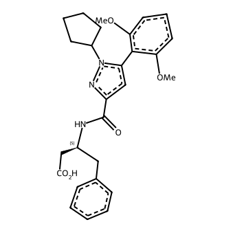 COc1cccc(OC)c1-c1cc(C(=O)N[C@H](CC(=O)O)Cc2ccccc2)nn1C1CCCC1